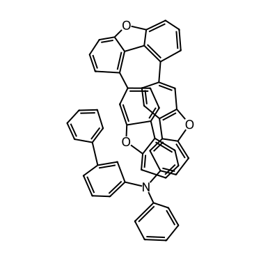 c1ccc(-c2cccc(N(c3ccccc3)c3ccc4oc5cc(-c6cccc7oc8cccc(-c9ccc%10c(c9)oc9ccccc9%10)c8c67)ccc5c4c3)c2)cc1